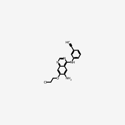 C#Cc1cccc(Nc2ncnc3cc(OCCCl)c(N)cc23)c1